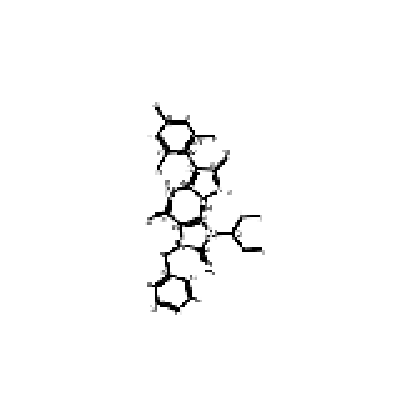 CCC(CC)n1c(=O)n(Cc2ccccc2)c2c(C)nc3c(-c4c(C)cc(C)cc4C)c(C)nn3c21